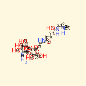 C=C(CNC(O)CCCCC(=O)NCCCO[C@@H]1OC(CO)[C@H](O)C(O[C@H]2OC(CO)[C@H](O)C(O)C2N)C1O)NCC